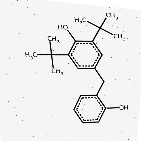 CC(C)(C)c1cc(Cc2ccccc2O)cc(C(C)(C)C)c1O